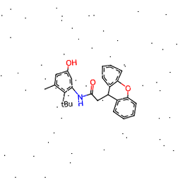 Cc1cc(O)cc(NC(=O)CC2c3ccccc3Oc3ccccc32)c1C(C)(C)C